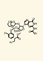 CC(=O)CCC(=O)OC[C@H]1O[C@@H](n2cnc3c(=O)[nH]c(NC(=O)C(C)C)nc32)[C@H](OC2CCCO2)[C@]1(O)OP(=O)(OCCC#N)Oc1ccccc1Cl